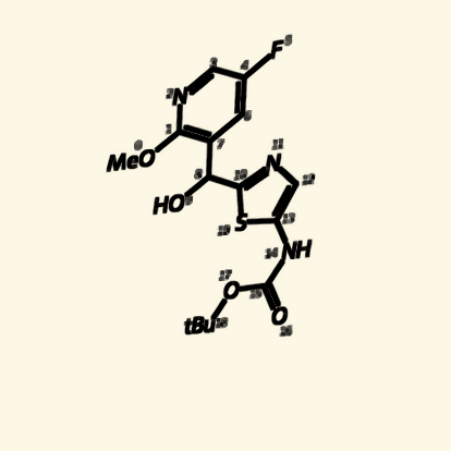 COc1ncc(F)cc1C(O)c1ncc(NC(=O)OC(C)(C)C)s1